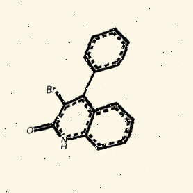 O=c1[nH]c2ccccc2c(-c2ccccc2)c1Br